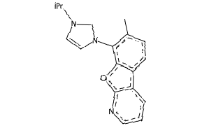 Cc1ccc2c(oc3ncccc32)c1N1C=CN(C(C)C)C1